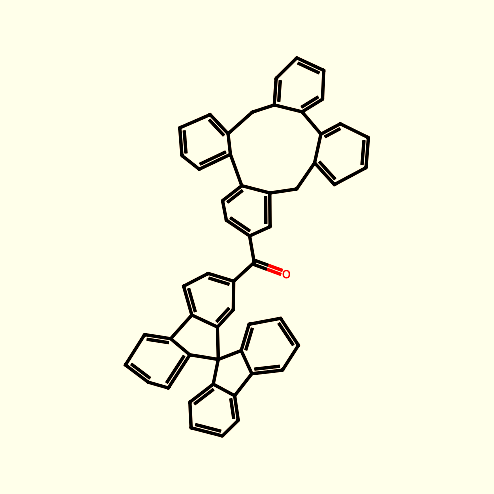 O=C(c1ccc2c(c1)Cc1ccccc1-c1ccccc1Cc1ccccc1-2)c1ccc2c(c1)C1(c3ccccc3-c3ccccc31)c1ccccc1-2